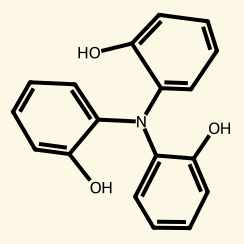 Oc1ccccc1N(c1ccccc1O)c1ccccc1O